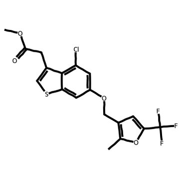 COC(=O)Cc1csc2cc(OCc3cc(C(F)(F)F)oc3C)cc(Cl)c12